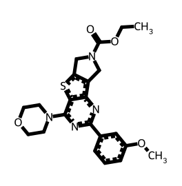 CCOC(=O)N1Cc2sc3c(N4CCOCC4)nc(-c4cccc(OC)c4)nc3c2C1